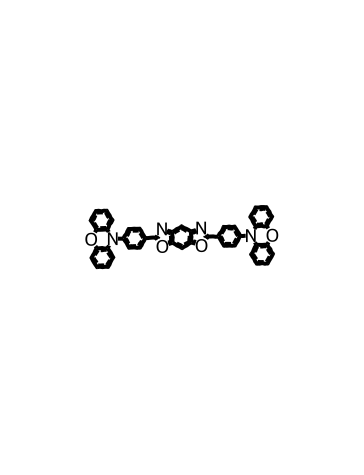 c1ccc2c(c1)Oc1ccccc1N2c1ccc(-c2nc3cc4nc(-c5ccc(N6c7ccccc7Oc7ccccc76)cc5)oc4cc3o2)cc1